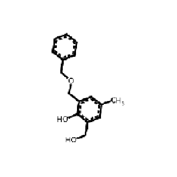 Cc1cc(CO)c(O)c(COCc2ccccc2)c1